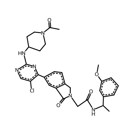 COc1cccc(C(C)NC(=O)CN2Cc3ccc(-c4nc(NC5CCN(C(C)=O)CC5)ncc4Cl)cc3C2=O)c1